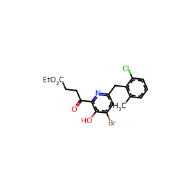 CCOC(=O)CCC(=O)c1nc(Cc2c(C)cccc2Cl)cc(Br)c1O